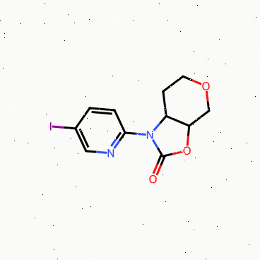 O=C1OC2COCCC2N1c1ccc(I)cn1